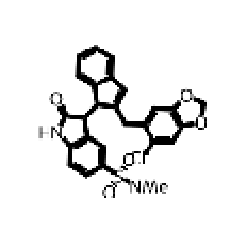 CNS(=O)(=O)c1ccc2c(c1)C(C1C(Cc3cc4c(cc3Cl)OCO4)=Cc3ccccc31)C(=O)N2